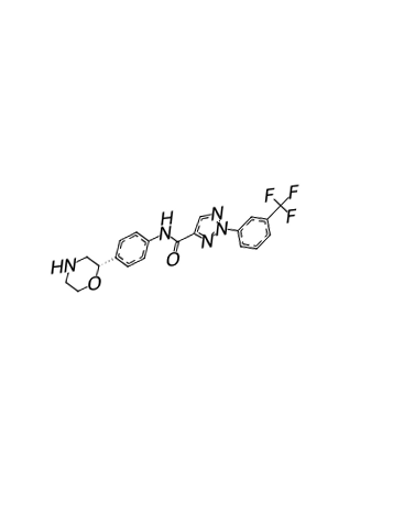 O=C(Nc1ccc([C@H]2CNCCO2)cc1)c1cnn(-c2cccc(C(F)(F)F)c2)n1